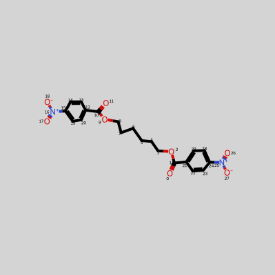 O=C(OCCCCCCOC(=O)c1ccc([N+](=O)[O-])cc1)c1ccc([N+](=O)[O-])cc1